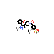 Cc1cc(C(=O)N2CCC3(CC2)Oc2ccccc2-c2c3cnn2C)ccc1S(=O)(=O)C(C)(C)C